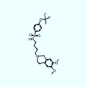 COc1cc2c(cc1OC)CN(CCCCNS(=O)(=O)c1ccc(OC(F)(F)F)cc1)CC2